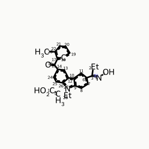 CC(=O)O.CC/C(=N\O)c1ccc2c(c1)c1cc(C(=O)c3ccccc3C)ccc1n2CC